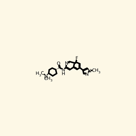 Cn1cc(-c2cc(F)c3cnc(NC(=O)[C@H]4CC[C@H](N(C)C)CC4)cc3c2)cn1